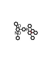 c1ccc(-c2ccc(N(c3ccc(-c4c5oc(-c6ccccc6)nc5cc5c4oc4ccccc45)cc3)c3ccccc3-c3ccc4ccccc4c3)cc2)cc1